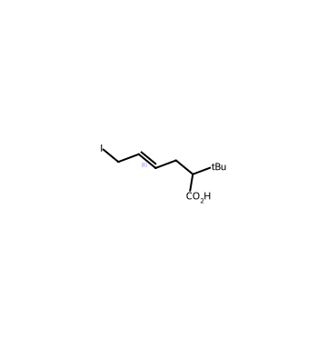 CC(C)(C)C(C/C=C/CI)C(=O)O